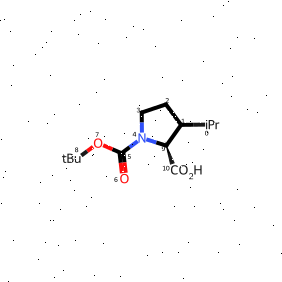 CC(C)C1CCN(C(=O)OC(C)(C)C)[C@@H]1C(=O)O